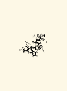 CCc1c(C(F)(F)F)nc2c(c1NC(=O)N=[S@@](N)(=O)c1sc(C(C)(C)O)cc1F)CCC2